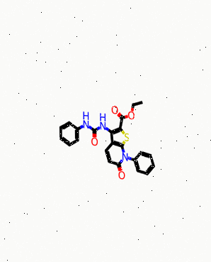 CCOC(=O)c1sc2c(ccc(=O)n2-c2ccccc2)c1NC(=O)Nc1ccccc1